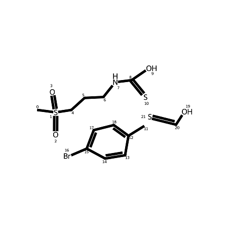 CS(=O)(=O)CCCNC(O)=S.Cc1ccc(Br)cc1.OC=S